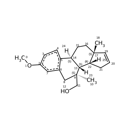 COc1ccc2c(c1)C[C@](C)(CO)[C@@H]1[C@@H]2CC[C@]2(C)C=CC[C@H]12